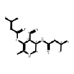 CC1=C(OC(=O)CC(C)C)C(C=O)C(OC(=O)CC(C)C)CO1